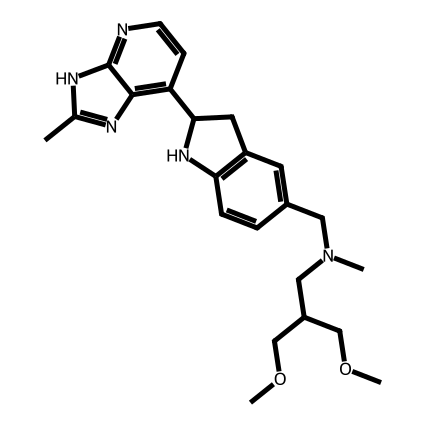 COCC(COC)CN(C)Cc1ccc2c(c1)CC(c1ccnc3[nH]c(C)nc13)N2